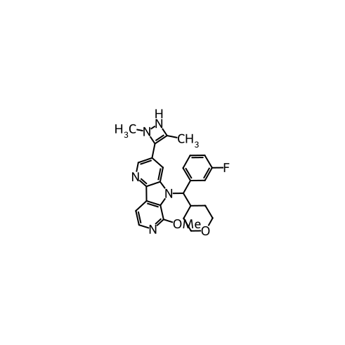 COc1nccc2c3ncc(-c4c(C)[nH]n4C)cc3n(C(c3cccc(F)c3)C3CCOCC3)c12